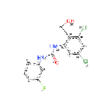 O=C(Nc1cccc(F)c1)Nc1cc(Cl)cc(Cl)c1CO